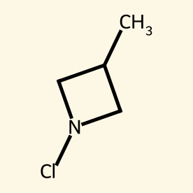 CC1CN(Cl)C1